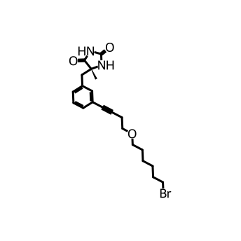 C[C@]1(Cc2cccc(C#CCCOCCCCCCBr)c2)NC(=O)NC1=O